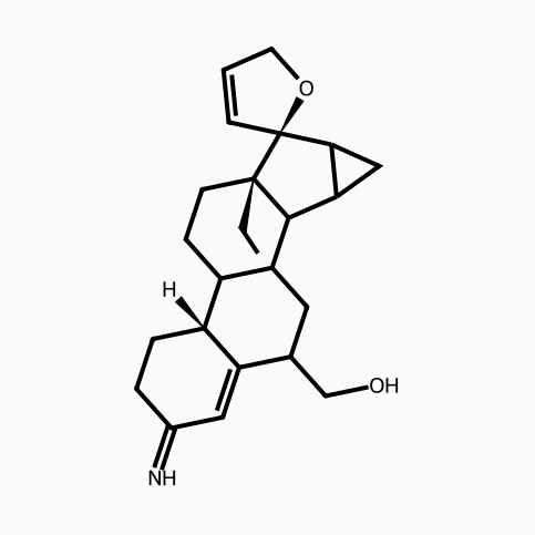 CC[C@]12CCC3C(CC(CO)C4=CC(=N)CC[C@@H]43)C1C1CC1[C@@]21C=CCO1